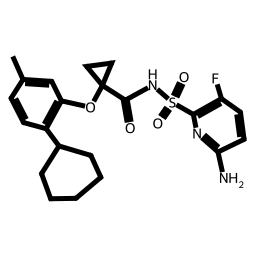 Cc1ccc(C2CCCCC2)c(OC2(C(=O)NS(=O)(=O)c3nc(N)ccc3F)CC2)c1